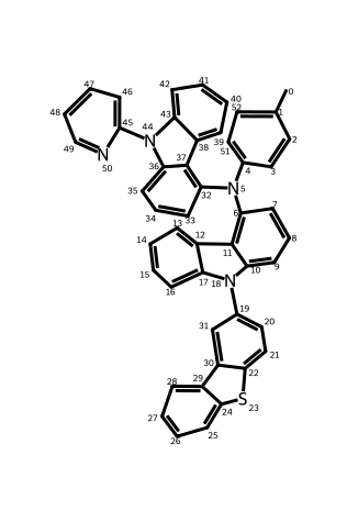 Cc1ccc(N(c2cccc3c2c2ccccc2n3-c2ccc3sc4ccccc4c3c2)c2cccc3c2c2ccccc2n3-c2ccccn2)cc1